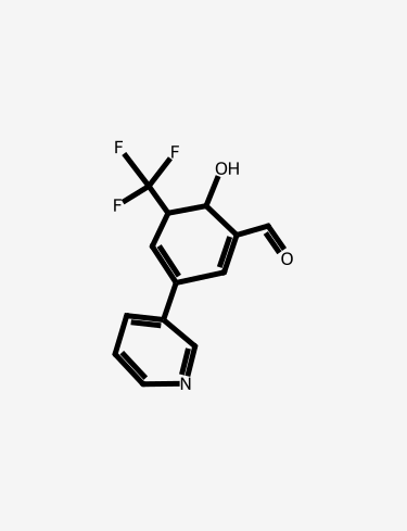 O=CC1=CC(c2cccnc2)=CC(C(F)(F)F)C1O